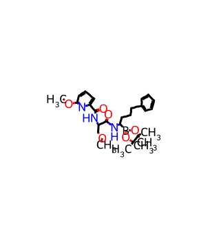 COCC(NC(=O)c1cccc(OC)n1)C(=O)NC(CCCc1ccccc1)B1OC(C)(C)C(C)(C)O1